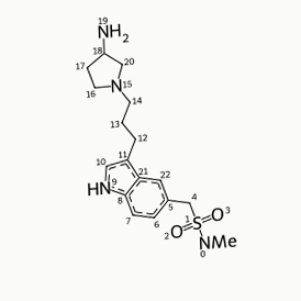 CNS(=O)(=O)Cc1ccc2[nH]cc(CCCN3CCC(N)C3)c2c1